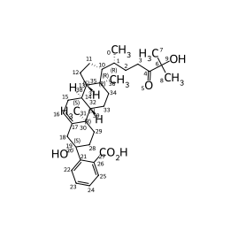 C[C@H](CCC(=O)C(C)(C)O)[C@H]1CC[C@H]2[C@@H]3CC=C4C[C@](O)(c5ccccc5C(=O)O)CC[C@]4(C)[C@H]3CC[C@]12C